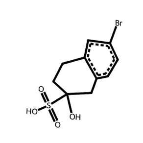 O=S(=O)(O)C1(O)CCc2cc(Br)ccc2C1